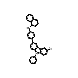 [2H]c1ccc2c(c1)c1cc(-c3ccc(Nc4cccc5ccccc45)cc3)ccc1n2-c1ccccc1